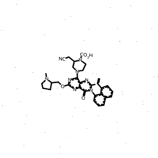 C=Cc1cccc2cccc(-n3c(C)nc4c(N5CCN(C(=O)O)C(CC#N)C5)nc(OCC5CCCN5C)nc4c3=O)c12